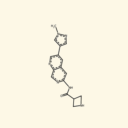 Cn1cc(-c2cnc3cnc(NC(=O)C4CNC4)cc3c2)cn1